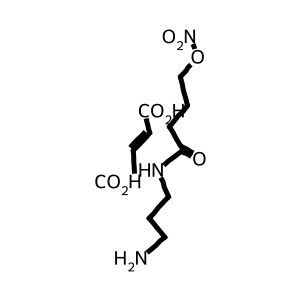 NCCCNC(=O)CCCO[N+](=O)[O-].O=C(O)C=CC(=O)O